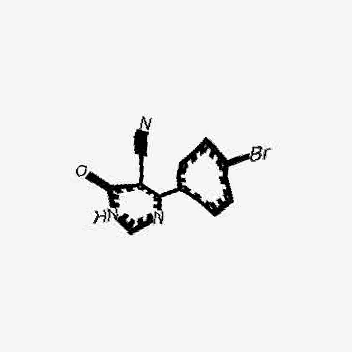 N#Cc1c(-c2ccc(Br)cc2)nc[nH]c1=O